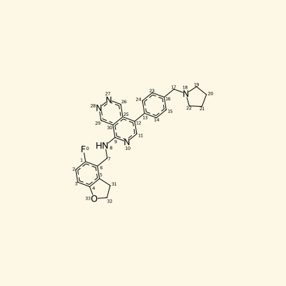 Fc1ccc2c(c1CNc1ncc(-c3ccc(CN4CCCC4)cc3)c3cnncc13)CCO2